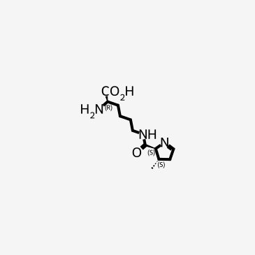 C[C@H]1CC=N[C@@H]1C(=O)NCCCC[C@@H](N)C(=O)O